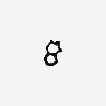 [C]1=NSc2ccccc2C1